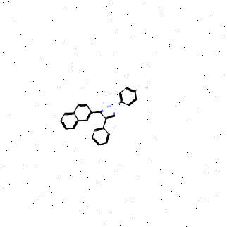 COc1ccc(-n2cc(-c3ccccc3)c(-c3ccc4ccccc4c3)n2)cc1